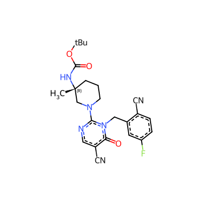 CC(C)(C)OC(=O)N[C@]1(C)CCCN(c2ncc(C#N)c(=O)n2Cc2cc(F)ccc2C#N)C1